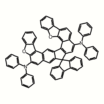 c1ccc(N(c2ccccc2)c2cc3c(c4c2ccc2c5ccccc5oc24)-c2cc4c(cc2C32c3ccccc3-c3ccccc32)cc(N(c2ccccc2)c2ccccc2)c2oc3ccccc3c24)cc1